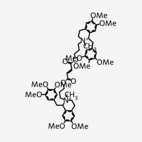 COc1cc2c(cc1OC)C(Cc1cc(OC)c(OC)c(OC)c1)[N+](C)(CCCOC(=O)/C=C/C(=O)OCCC[N+]1(C)CCc3cc(OC)c(OC)cc3C1Cc1cc(OC)c(OC)c(OC)c1)CC2